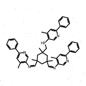 Cc1cc(-c2ccccc2)ncc1/N=C\C1(C)CC(C)(/C=N\c2cnc(-c3ccccc3)cc2C)CC(C)(CPc2cnc(-c3ccccc3)cc2C)C1